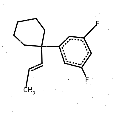 C/C=C/C1(c2cc(F)cc(F)c2)CCCCC1